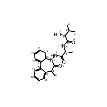 CC1C(=O)N(NC(=O)[C@H](C)NC(=O)[C@@H](O)C(C)C)C2CC=CC=C2c2ccccc21